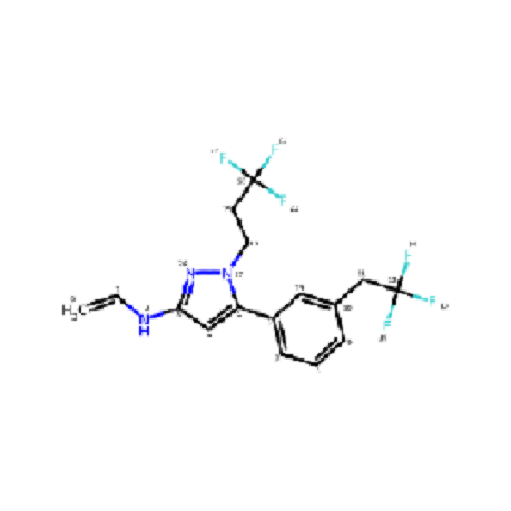 C=CNc1cc(-c2cccc(CC(F)(F)F)c2)n(CCC(F)(F)F)n1